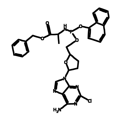 CC(NP(OCC1CCC(n2cnc3c(N)nc(Cl)nc32)O1)Oc1cccc2ccccc12)C(=O)OCc1ccccc1